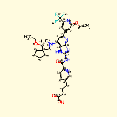 CCOCC1(CN(C)c2cc(-c3cc(OCC)nc(C(F)(F)F)c3)nc3nc(NC(=O)c4ccc(CCCC(=O)O)cn4)[nH]c23)CCCC1